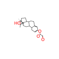 CC[C@]12CCC3C4CC=C(OC(=O)C=O)C=C4CCC3C1CC[C@]2(C)O